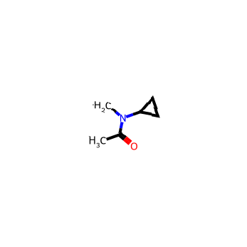 [CH2]N(C(C)=O)C1CC1